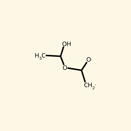 [CH2]C([O])OC(C)O